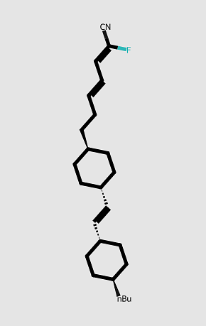 CCCC[C@H]1CC[C@H](C=C[C@H]2CC[C@H](CCC=CC=C(F)C#N)CC2)CC1